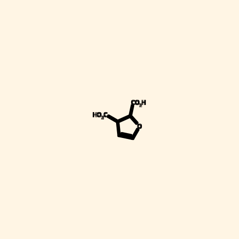 O=C(O)C1C=COC1C(=O)O